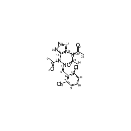 CC(=O)N(N=Cc1c(Cl)cccc1Cl)c1nncn1N(C(C)=O)C(C)=O